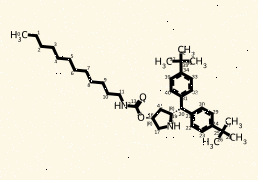 CCCCCCCCCCCCNC(=O)O[C@H]1CN[C@@H](C(c2ccc(C(C)(C)C)cc2)c2ccc(C(C)(C)C)cc2)C1